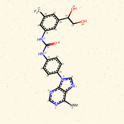 CNc1ncnc2c1ncn2-c1ccc(NC(=O)Nc2cc(C(O)CO)cc(C(F)(F)F)c2)cc1